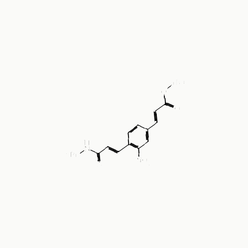 CCCCNC(=O)/C=C/c1ccc(/C=C/C(=O)OC(C)(C)C)cc1[N+](=O)[O-]